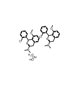 COc1cccc2c1C(c1ccccc1Cl)N=C(N(C)C)C2.COc1cccc2c1C(c1ccccc1Cl)N=C(N(C)C)C2.Cl.Cl.O